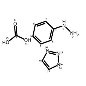 NNc1ccccc1.O=C(O)O.c1c[nH]nn1